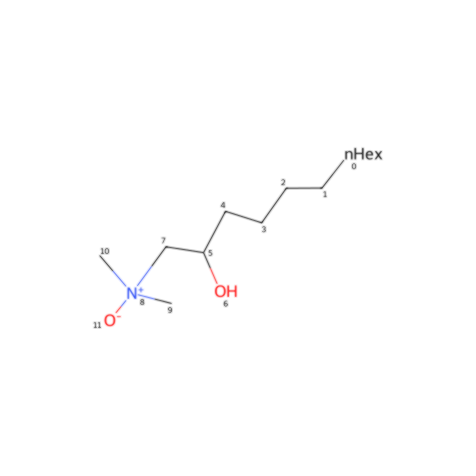 CCCCCCCCCCC(O)C[N+](C)(C)[O-]